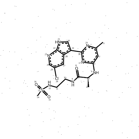 Cc1cc(N[C@@H](C)C(=O)NCCNS(C)(=O)=O)nc(-c2c[nH]c3ncc(Cl)cc23)n1